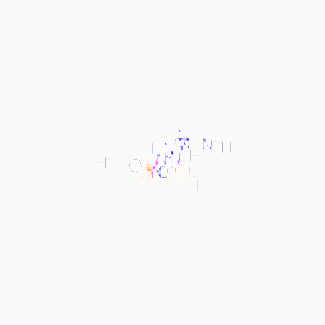 CCOc1nc(Nc2cnn(C3CCN(C)CC3)c2C)nc2c1ccn2S(=O)(=O)c1ccc(C)cc1